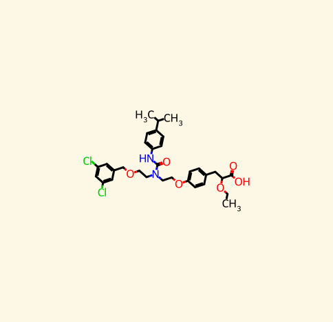 CCOC(Cc1ccc(OCCN(CCOCc2cc(Cl)cc(Cl)c2)C(=O)Nc2ccc(C(C)C)cc2)cc1)C(=O)O